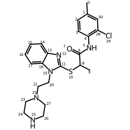 Cc1ccc(NC(=O)C(C)Sc2nc3ccccc3n2CCN2CCNCC2)c(Cl)c1